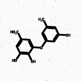 Cc1cc(O)cc(Oc2cc(C(=O)O)cc(O)c2O)c1